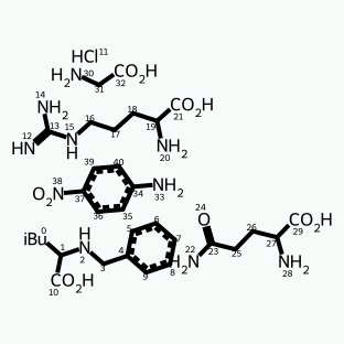 CCC(C)C(NCc1ccccc1)C(=O)O.Cl.N=C(N)NCCCC(N)C(=O)O.NC(=O)CCC(N)C(=O)O.NCC(=O)O.Nc1ccc([N+](=O)[O-])cc1